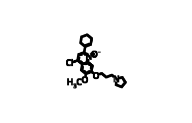 COc1cc2c(Cl)cc(C3=CCCCC3)[n+]([O-])c2cc1OCCCN1CCCC1